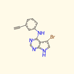 C#Cc1cccc(Nc2ncnc3[nH]cc(Br)c23)c1